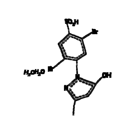 Cc1cc(O)n(-c2cc(Br)c(S(=O)(=O)O)cc2Br)n1.O.O